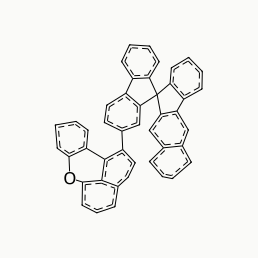 c1ccc2c(c1)Oc1cccc3ccc(-c4ccc5c(c4)C4(c6ccccc6-5)c5ccccc5-c5cc6ccccc6cc54)c-2c13